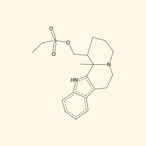 CCS(=O)(=O)OCC1CCCN2CCc3c([nH]c4ccccc34)C12C